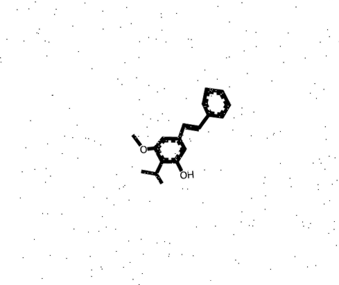 COc1cc(C=Cc2ccccc2)cc(O)c1C(C)C